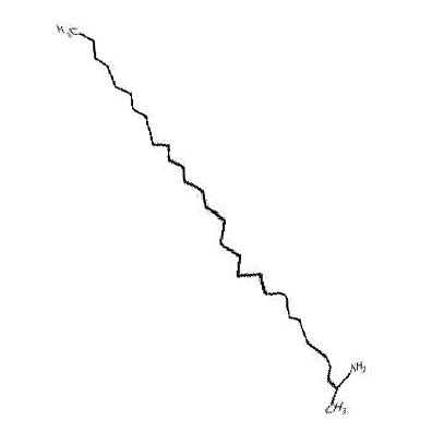 CCCCCCCCCCCCCCCCCCCCCCCCCCCC(C)N